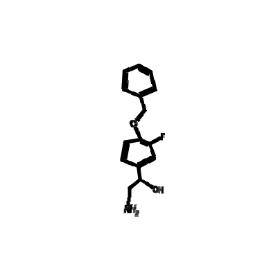 NC[C@H](O)c1ccc(OCc2ccccc2)c(F)c1